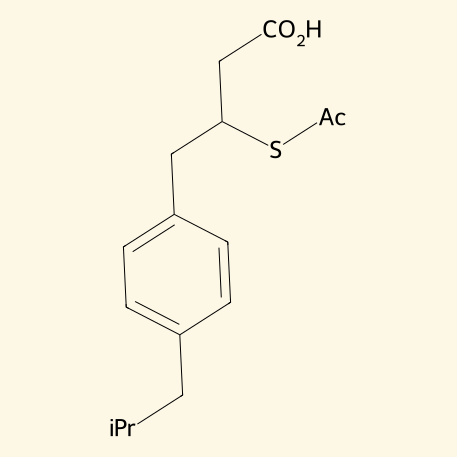 CC(=O)SC(CC(=O)O)Cc1ccc(CC(C)C)cc1